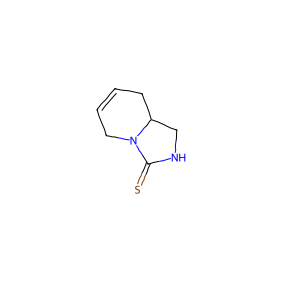 S=C1NCC2CC=CCN12